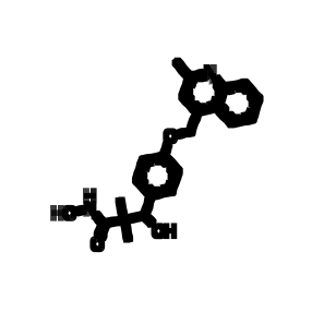 Cc1cc(COc2ccc(C(O)C(C)(C)C(=O)NO)cc2)c2ccccc2n1